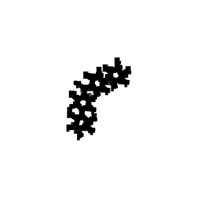 FB(c1c(F)c(F)c(-c2c(F)c(F)c(F)c(F)c2F)c(F)c1F)c1c(F)c(F)c(-c2c(F)c(F)c(F)c(F)c2F)c(F)c1F